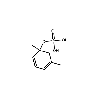 CC1=CC=CC(C)(OP(=O)(O)O)C1